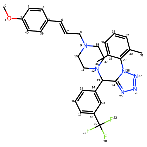 COc1ccc(/C=C/CN2CCN(C(c3cccc(C(F)(F)F)c3)c3nnnn3-c3c(C)cccc3C)CC2)cc1